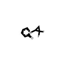 O=c1ccccn1C1CC1(F)F